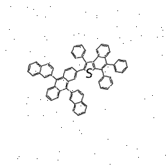 c1ccc(-c2c(-c3ccccc3)c3sc(-c4ccc5c(-c6ccc7ccccc7c6)c6ccccc6c(-c6ccc7ccccc7c6)c5c4)c(-c4ccccc4)c3c3ccccc23)cc1